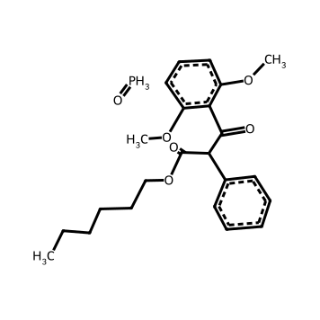 CCCCCCOC(=O)C(C(=O)c1c(OC)cccc1OC)c1ccccc1.O=[PH3]